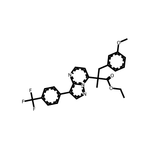 CCOC(=O)C(C)(Cc1cccc(OC)c1)c1ccnc2c(-c3ccc(C(F)(F)F)cc3)cnn12